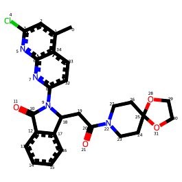 Cc1cc(Cl)nc2nc(N3C(=O)c4ccccc4C3CC(=O)N3CCC4(CC3)OCCO4)ccc12